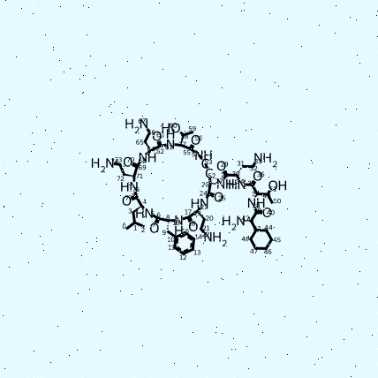 CC(C)C[C@@H]1NC(=O)[C@@H](Cc2ccccc2)NC(=O)[C@H](CCN)NC(=O)[C@@H](NC(=O)[C@H](CCN)NC(=O)[C@@H](NC(=O)[C@@H](N)C2CCCCC2)C(C)O)CCNC(=O)[C@H](C(C)O)NC(=O)[C@H](CCN)NC(=O)[C@H](CCN)NC1=O